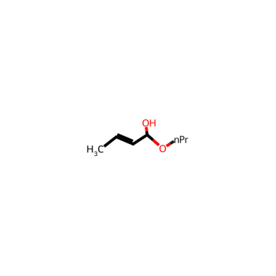 [CH2]CCOC(O)C=CC